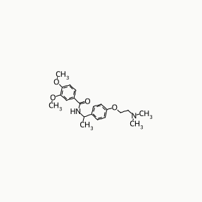 COc1ccc(C(=O)NC(C)c2ccc(OCCN(C)C)cc2)cc1OC